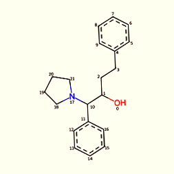 OC(CCc1ccccc1)C(c1ccccc1)N1CCCC1